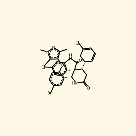 Cc1nn(C)c(C)c1Oc1ccc(Br)cc1[C@H]1NC(=O)C[C@@H](C2C=CC=C(Cl)C2)[C@]12C(=O)Nc1cc(Cl)ccc12